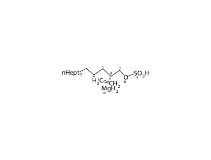 C=C.CCCCCCCCCCCCOS(=O)(=O)O.[MgH2]